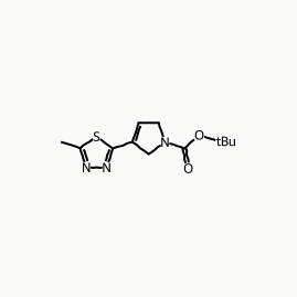 Cc1nnc(C2=CCN(C(=O)OC(C)(C)C)C2)s1